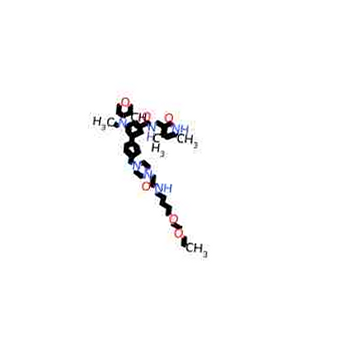 CCCOCCOCCCCCNC(=O)CN1CCN(Cc2ccc(-c3cc(C(=O)NCc4c(C)cc(C)[nH]c4=O)c(C)c(N(CC)C4CCOCC4)c3)cc2)CC1